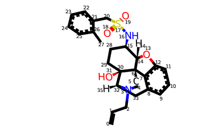 C=CCN1CC[C@]23c4c5cccc4O[C@H]2[C@H](NS(=O)(=O)Cc2ccccc2C)CC[C@@]3(O)[C@H]1C5